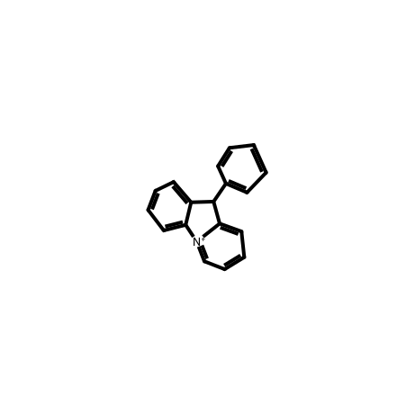 c1ccc(C2c3ccccc3-[n+]3ccccc32)cc1